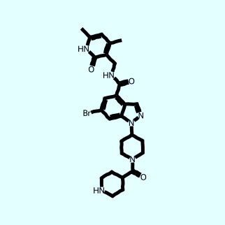 Cc1cc(C)c(CNC(=O)c2cc(Br)cc3c2cnn3C2CCN(C(=O)C3CCNCC3)CC2)c(=O)[nH]1